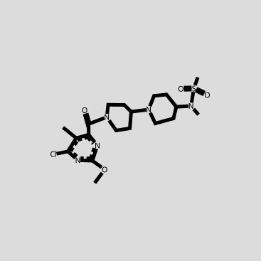 COc1nc(Cl)c(C)c(C(=O)N2CCC(N3CCC(N(C)S(C)(=O)=O)CC3)CC2)n1